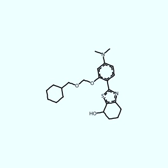 CN(C)c1ccc(-c2nc3c(s2)C(O)CCC3)c(OCOCC2CCCCC2)c1